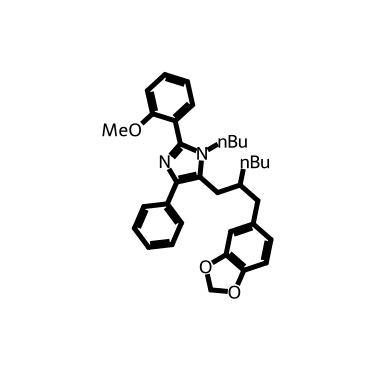 CCCCC(Cc1ccc2c(c1)OCO2)Cc1c(-c2ccccc2)nc(-c2ccccc2OC)n1CCCC